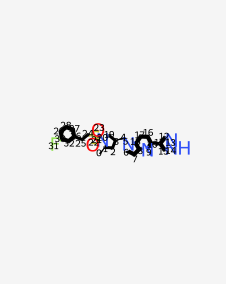 C[C@@H]1C[C@H](Cn2ccc3nc(-c4cn[nH]c4)ccc32)CN1S(=O)(=O)CCc1cccc(F)c1